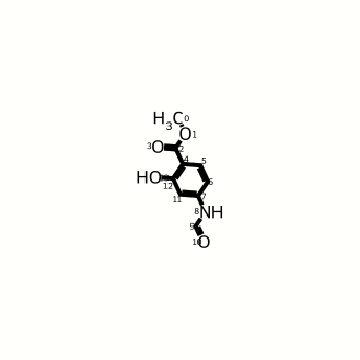 COC(=O)c1ccc(NC=O)cc1O